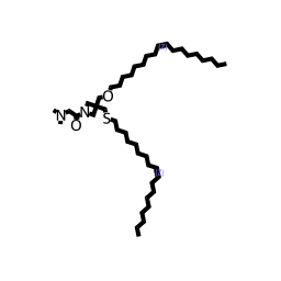 CCCCCCCC/C=C\CCCCCCCCOCC1(CSCCCCCCCC/C=C\CCCCCCCC)CN(C(=O)CN(C)C)C1